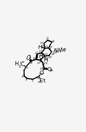 CC[C@H]1CCCC[C@@H](C)C(=O)C2=CC3[C@@H]4CCCC4[C@H](NC)C[C@H]3[C@@H]2CC(=O)O1